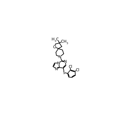 CC1(C)COC2(CCN(c3ncc(Sc4cccc(Cl)c4Cl)c4nccn34)CC2)C1